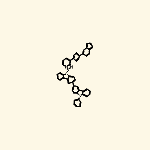 c1ccc(-n2c3ccccc3c3cc(-c4ccc5c(c4)c4ccccc4n5-n4nc5c(-c6ccc(-c7ccc8ccccc8c7)cc6)cccn54)ccc32)cc1